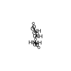 N=C(NC(=O)OCc1ccccc1)c1ccc(C(=O)Nc2cccc(C(=O)NCCC(=O)OCc3ccccc3)c2)cc1